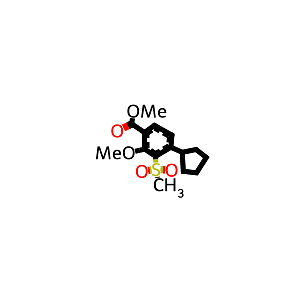 COC(=O)c1ccc(C2CCCC2)c(S(C)(=O)=O)c1OC